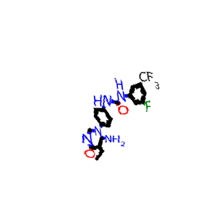 NC1=c2ccoc2=NCN1c1ccc(NC(=O)Nc2cc(F)cc(C(F)(F)F)c2)cc1